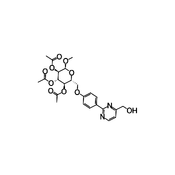 CO[C@H]1O[C@H](COc2ccc(-c3nccc(CO)n3)cc2)[C@@H](OC(C)=O)[C@H](OC(C)=O)[C@H]1OC(C)=O